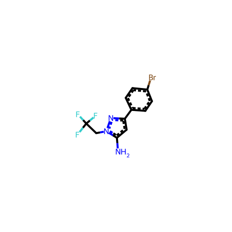 Nc1cc(-c2ccc(Br)cc2)nn1CC(F)(F)F